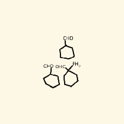 O=CC1(P)CCCCC1.O=CC1CCCCC1.O=CC1CCCCC1